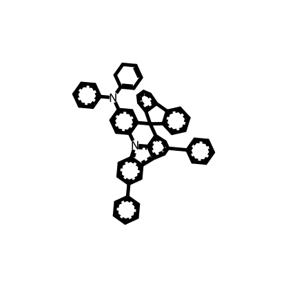 C1=CCCC(N(c2ccccc2)c2ccc3c(c2)C2(c4ccccc4-c4ccccc42)c2cc(-c4ccccc4)cc4c5cc(-c6ccccc6)ccc5n-3c24)=C1